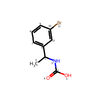 CC(NC(=O)O)c1cccc(Br)c1